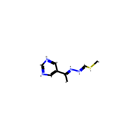 CSC=NN=C(C)c1cncnc1